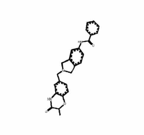 CC1Oc2ccc(CN3Cc4ccc(NC(=O)c5ccccc5)cc4C3)cc2NC1=O